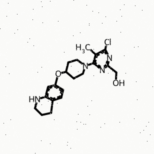 Cc1c(Cl)nc(CO)nc1N1CCC(Oc2ccc3c(c2)NCCC3)CC1